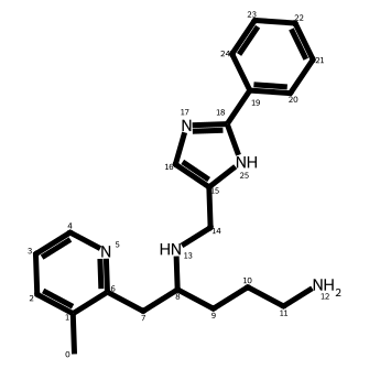 Cc1cccnc1CC(CCCN)NCc1cnc(-c2ccccc2)[nH]1